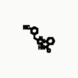 N#Cc1cccc(Cc2cc3[nH]c(=O)c4ccccc4n3n2)c1